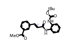 COC(=O)c1cccc(/C=C/C(=O)Nc2ccccc2NC(=O)OC(C)(C)C)c1